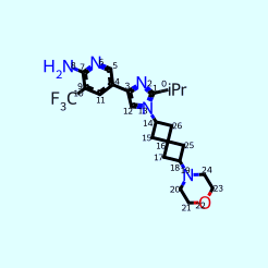 CC(C)c1nc(-c2cnc(N)c(C(F)(F)F)c2)cn1C1CC2(CC(N3CCOCC3)C2)C1